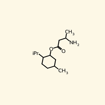 CC(N)CC(=O)OC1CC(C)CCC1C(C)C